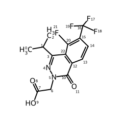 CC(C)c1nn(CC(=O)O)c(=O)c2ccc(C(F)(F)F)c(F)c12